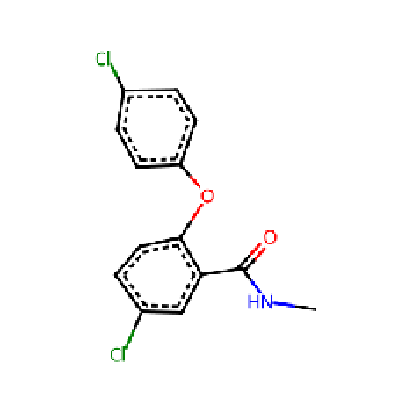 CNC(=O)c1cc(Cl)ccc1Oc1ccc(Cl)cc1